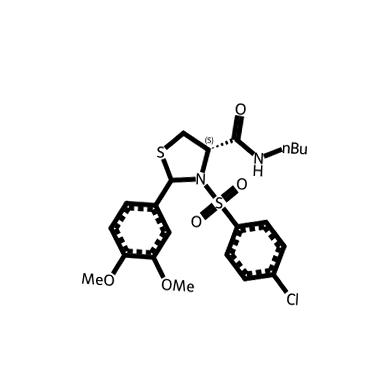 CCCCNC(=O)[C@H]1CSC(c2ccc(OC)c(OC)c2)N1S(=O)(=O)c1ccc(Cl)cc1